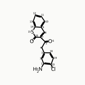 Nc1cc(CC(=O)c2cc3ccccc3sc2=O)ccc1Cl